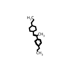 CCCc1ccc(C(C)=CC2CCC(CCC)CC2)cc1